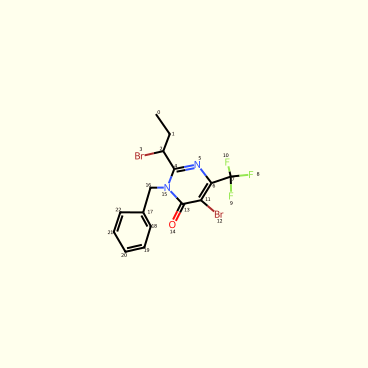 CCC(Br)c1nc(C(F)(F)F)c(Br)c(=O)n1Cc1ccccc1